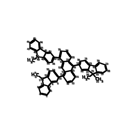 Cn1c2ccccc2c2cc(-c3cccc4c(-c5ccc6c(c5)C(C)(C)c5ccccc5-6)c5cccc(-c6ccc7c(c6)c6ccccc6n7C)c5cc34)ccc21